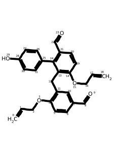 C=CCOc1ccc(C=O)cc1Cc1c(OCC=C)ccc(C=O)c1-c1ccc(O)cc1